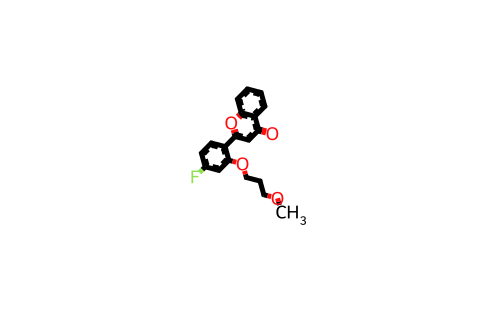 COCCCOc1cc(F)ccc1-c1cc(=O)c2ccccc2o1